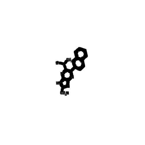 CC(C)N(C)c1nc2[nH]c(C(=O)O)nc2nc1-c1ccc2ccccc2c1